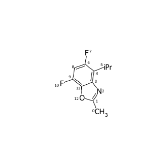 Cc1nc2c(C(C)C)c(F)cc(F)c2o1